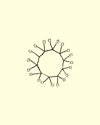 ClC1C(Cl)(Cl)C(Cl)(Cl)C(Cl)(Cl)C(Cl)(Cl)C(Cl)(Cl)C(Cl)(Cl)C(Cl)(Cl)C(Cl)(Cl)C1(Cl)Cl